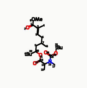 COC(=O)/C(C)=C/CC(C)CC(OC(=O)C(C)N(C)C(=O)OC(C)(C)C)C(C)(C)C